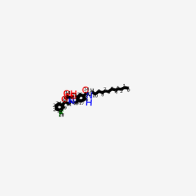 CCCCCCCCCCCCNC(=O)c1ccc(CN(CCc2cccc(F)c2)C(=O)C(=O)O)cc1